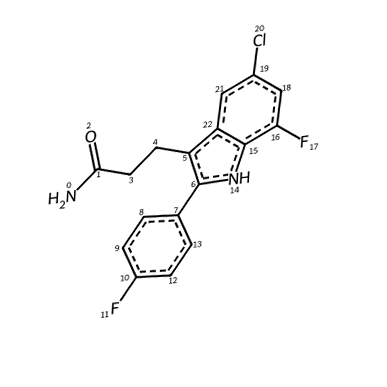 NC(=O)CCc1c(-c2ccc(F)cc2)[nH]c2c(F)cc(Cl)cc12